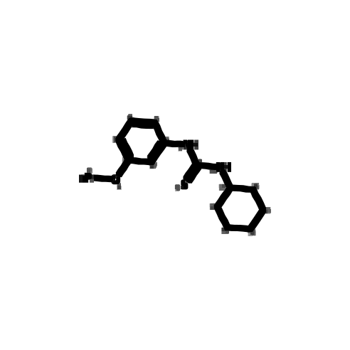 CCCOc1cccc(NC(=S)NC2CCCCC2)c1